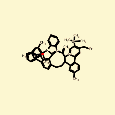 C=C1C2C(CCc3ccc4c(oc5ccccc54)c3-c3n(-c4c(C)cc(C)cc4C)c4ccccc4[n+]31)c1cc(C)ccc1-c1cc(CC(C)C)c([Si](C)(C)C)c[n+]12